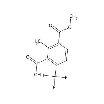 COC(=O)c1ccc(C(F)(F)F)c(C(=O)O)c1C